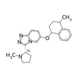 CC1CCC(Oc2ccc3nnc([C@@H]4CCCN4C)n3c2)c2ccccc21